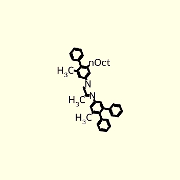 CCCCCCCCc1cc(N=CC(C)=Nc2cc(C)c(-c3ccccc3)c(-c3ccccc3)c2)cc(C)c1-c1ccccc1